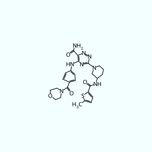 Cc1ccc(C(=O)NC2CCCN(c3nnc(C(N)=O)c(Nc4ccc(C(=O)N5CCOCC5)cc4)n3)C2)s1